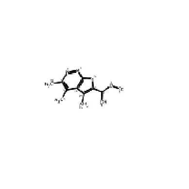 CCOC(O)c1sc2nnc(C)c(C)c2c1N